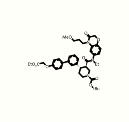 CCOC(=O)COc1ccc(-c2cccc([C@H]3CCN(C(=O)OC(C)(C)C)C[C@@H]3C(=O)N(CC)c3ccc4c(c3)N(CCCOC)C(=O)CO4)c2)cc1